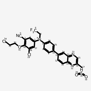 N#Cc1cc(N(CC(F)(F)F)c2ccc(-c3ccc4nc(C[SH](=O)=O)cnc4c3)cc2)cc(Cl)c1OCCCl